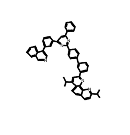 CC(C)c1ccc2ccc3c(C(C)C)cc(-c4cccc(-c5ccc(-c6nc(-c7ccccc7)cc(-c7cccc(-c8cncc9ccccc89)c7)n6)cc5)c4)nc3c2n1